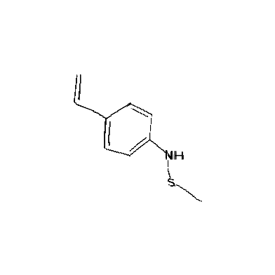 C=Cc1ccc(NSC)cc1